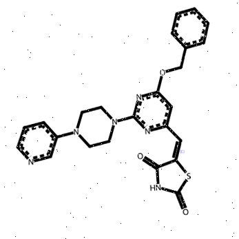 O=C1NC(=O)/C(=C\c2cc(OCc3ccccc3)nc(N3CCN(c4cccnc4)CC3)n2)S1